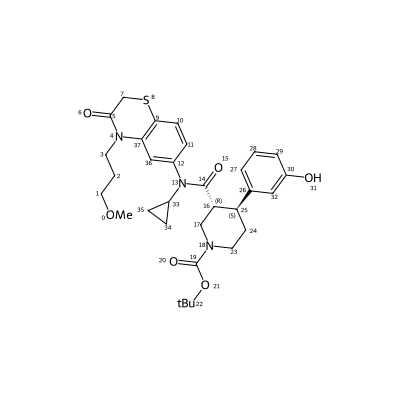 COCCCN1C(=O)CSc2ccc(N(C(=O)[C@H]3CN(C(=O)OC(C)(C)C)CC[C@@H]3c3cccc(O)c3)C3CC3)cc21